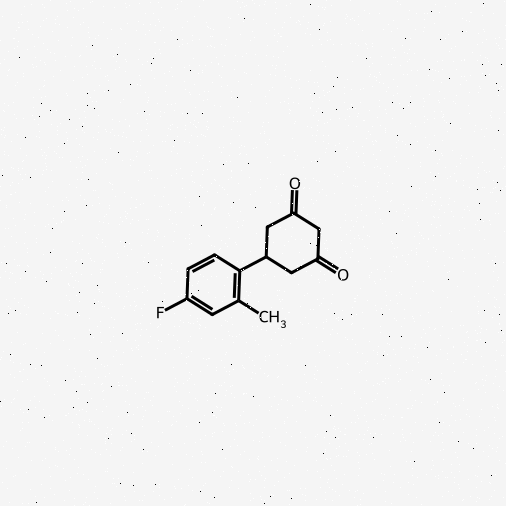 Cc1cc(F)ccc1C1CC(=O)CC(=O)C1